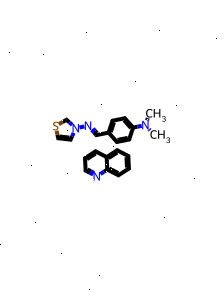 CN(C)c1ccc(C=NN2C=CSC2)cc1.c1ccc2ncccc2c1